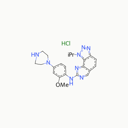 COc1cc(N2CCNCC2)ccc1Nc1ncc2ccc3nnn(C(C)C)c3c2n1.Cl